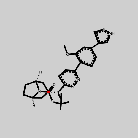 COc1cc(-c2cn[nH]c2)ccc1-c1ccc(N(C)[C@@H]2C[C@H]3CC[C@@H](C2)N3C(=O)OC(C)(C)C)nn1